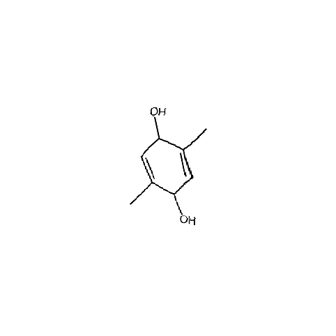 CC1=CC(O)C(C)=CC1O